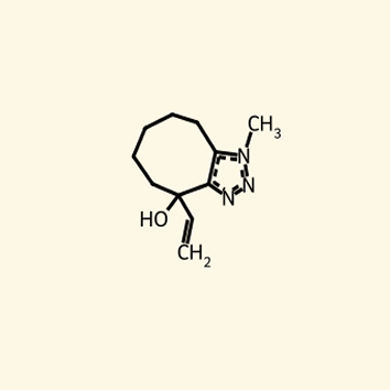 C=CC1(O)CCCCCc2c1nnn2C